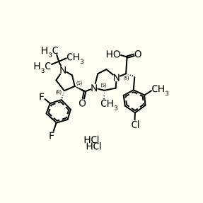 Cc1cc(Cl)ccc1C[C@@H](C(=O)O)N1CCN(C(=O)[C@@H]2CN(C(C)(C)C)C[C@H]2c2ccc(F)cc2F)[C@@H](C)C1.Cl.Cl